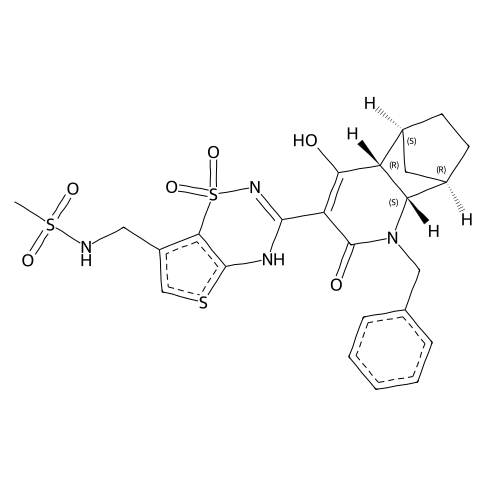 CS(=O)(=O)NCc1csc2c1S(=O)(=O)N=C(C1=C(O)[C@@H]3[C@H]4CC[C@H](C4)[C@@H]3N(Cc3ccccc3)C1=O)N2